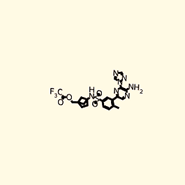 Cc1ccc(S(=O)(=O)NC23CCC(COC(=O)C(F)(F)F)(C2)C3)cc1-c1cnc(N)c(-n2cncn2)n1